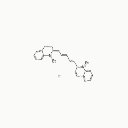 CCN1C(=CC=CC=Cc2ccc3ccccc3[n+]2CC)C=Cc2ccccc21.[I-]